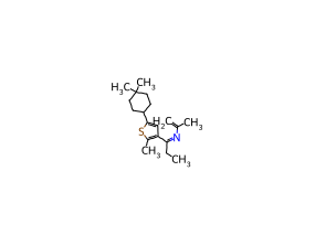 C=C(C)/N=C(/CC)c1cc(C2CCC(C)(C)CC2)sc1C